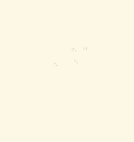 CNC1=NC(=O)[C@]2(CCC3=CC=CCC32)c2nc(C3CC3)ccc21